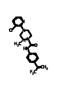 C=C(c1ccc(NC(=O)N2CCN(c3ncccc3Cl)C[C@H]2C)cc1)C(F)(F)F